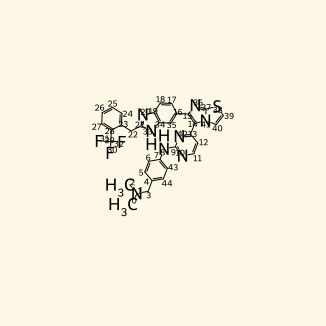 CN(C)Cc1ccc(Nc2nccc(-c3c(-c4ccc5nc(Cc6ccccc6C(F)(F)F)[nH]c5c4)nc4sccn34)n2)cc1